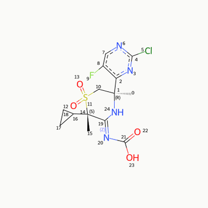 C[C@@]1(c2nc(Cl)ncc2F)CS(=O)(=O)[C@@](C)(C2CC2)/C(=N/C(=O)O)N1